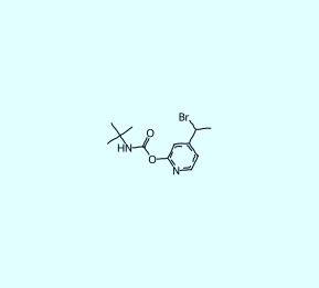 CC(Br)c1ccnc(OC(=O)NC(C)(C)C)c1